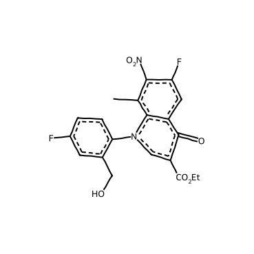 CCOC(=O)c1cn(-c2ccc(F)cc2CO)c2c(C)c([N+](=O)[O-])c(F)cc2c1=O